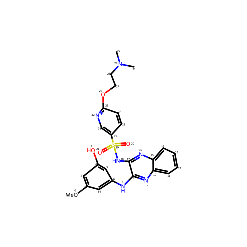 COc1cc(O)cc(Nc2nc3ccccc3nc2NS(=O)(=O)c2ccc(OCCN(C)C)nc2)c1